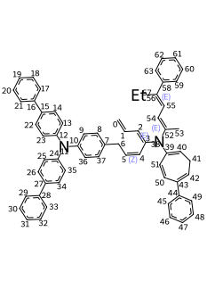 C=C/C=C(\C=C/Cc1ccc(N(c2ccc(-c3ccccc3)cc2)c2ccc(-c3ccccc3)cc2)cc1)N(C1=CCC=C(c2ccccc2)C=C1)/C(C)=C/C=C(\CC)c1ccccc1